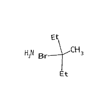 CCC(C)(Br)CC.N